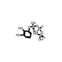 O=P(O)(O)OP(=O)(O)OP(=O)(O)Oc1cccc(O)c1O